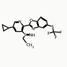 CCS(=N)c1cc(C2CC2)cnc1-c1nc2cc(SC(F)(F)F)ccc2o1